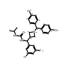 CC(C)NC(=O)NC(c1cc(F)cc(F)c1)C1CN(C(c2ccc(Cl)cc2)c2ccc(Cl)cc2)C1